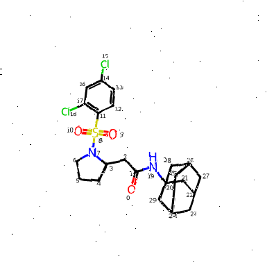 O=C(CC1CCCN1S(=O)(=O)c1ccc(Cl)cc1Cl)NC12CC3CC(CC(C3)C1)C2